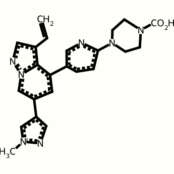 C=Cc1cnn2cc(-c3cnn(C)c3)cc(-c3ccc(N4CCN(C(=O)O)CC4)nc3)c12